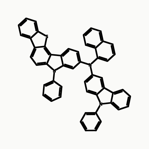 c1ccc(-n2c3ccccc3c3cc(N(c4ccc5c6c7sc8ccccc8c7ccc6n(-c6ccccc6)c5c4)c4cccc5ccccc45)ccc32)cc1